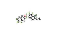 Cc1ccc2cc(C(F)(F)Oc3ccc4c(F)c(F)c(F)cc4c3)c(F)c(F)c2c1Cl